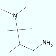 CC(CN)C(C)(C)N(C)C